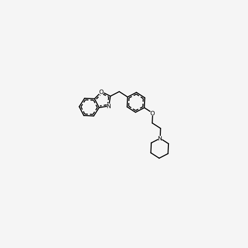 c1ccc2oc(Cc3ccc(OCCN4CCCCC4)cc3)nc2c1